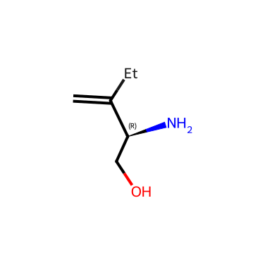 C=C(CC)[C@@H](N)CO